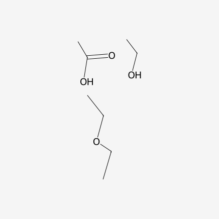 CC(=O)O.CCO.CCOCC